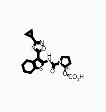 O=C(O)O[C@@H]1CCCN1C(=O)Nc1sc2c(c1-c1nc(C3CC3)no1)CCCC2